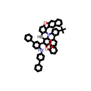 CC(C)(C)c1ccc(N2c3cc4c(oc5ccccc54)c(-c4cc(-c5ccccc5)ccc4Nc4ccc(-c5ccccc5)cc4)c3Bc3ccc4oc5cc6ccccc6cc5c4c32)c(-c2ccccc2)c1